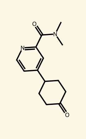 CN(C)C(=O)c1cc(C2CCC(=O)CC2)ccn1